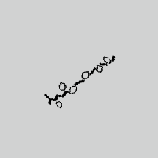 CCOCCOCCOCCOC(=O)CCC(=O)C(C)C